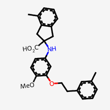 COc1ccc(NC2(C(=O)O)Cc3cccc(C)c3C2)cc1OCCc1cccc(C)c1